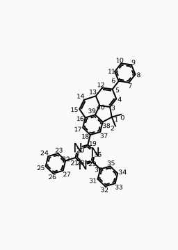 CC1(C)C2=CC(c3ccccc3)=CC3C=Cc4cc(-c5nc(-c6ccccc6)nc(-c6ccccc6)n5)cc1c4C23